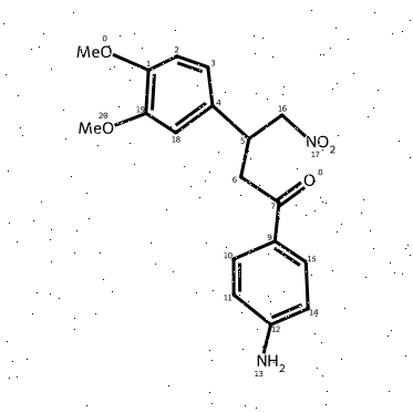 COc1ccc(C(CC(=O)c2ccc(N)cc2)C[N+](=O)[O-])cc1OC